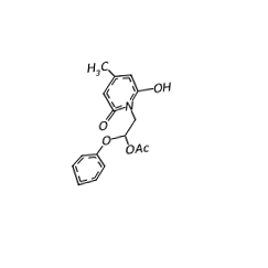 CC(=O)OC(Cn1c(O)cc(C)cc1=O)Oc1ccccc1